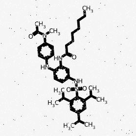 CCCCCCCC(=O)Nc1cc(NS(=O)(=O)c2c(C(C)C)cc(C(C)C)cc2C(C)C)ccc1Nc1ccc(N(C)C(C)=O)cc1